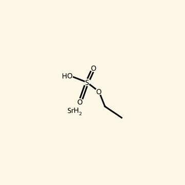 CCOS(=O)(=O)O.[SrH2]